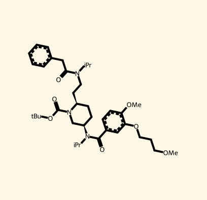 COCCCOc1cc(C(=O)N(C(C)C)[C@@H]2CC[C@H](CCN(C(=O)Cc3ccccc3)C(C)C)N(C(=O)OC(C)(C)C)C2)ccc1OC